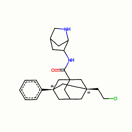 O=C(NC1CC2CNC1C2)C12CC3C[C@@](CCCl)(C1)C[C@](c1ccccc1)(C3)C2